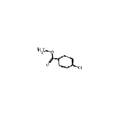 COC(=O)C1CCC(Cl)CC1